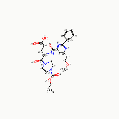 CCOC(=O)N1CCN(C(=O)[C@H](CCC(=O)O)NC(=O)c2cc(CCOC)nc(-c3ccccc3)n2)CC1